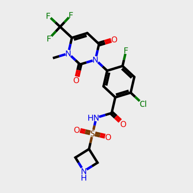 Cn1c(C(F)(F)F)cc(=O)n(-c2cc(C(=O)NS(=O)(=O)C3CNC3)c(Cl)cc2F)c1=O